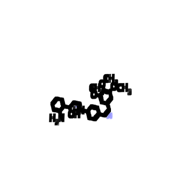 COc1cc(/C=C\c2ccc(N/C=C\C(O)c3ccccc3N)cc2)cc(OC)c1OC